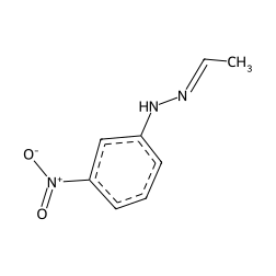 C/C=N/Nc1cccc([N+](=O)[O-])c1